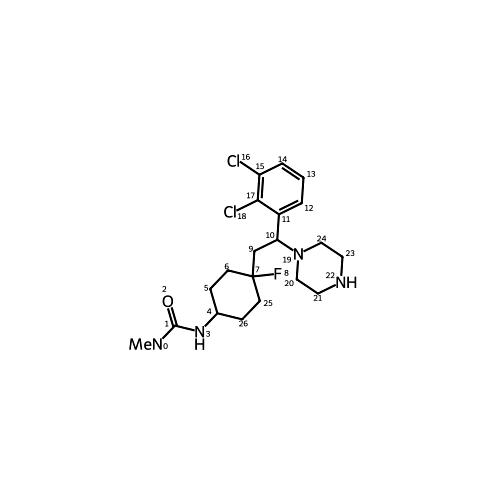 CNC(=O)NC1CCC(F)(CC(c2cccc(Cl)c2Cl)N2CCNCC2)CC1